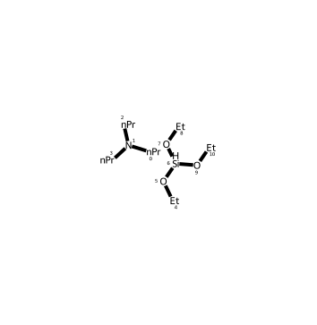 CCCN(CCC)CCC.CCO[SiH](OCC)OCC